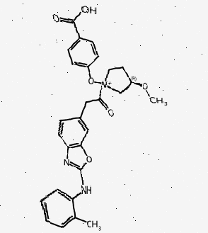 CO[C@@H]1CC[N+](Oc2ccc(C(=O)O)cc2)(C(=O)Cc2ccc3nc(Nc4ccccc4C)oc3c2)C1